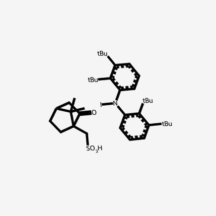 CC(C)(C)c1cccc(N(I)c2cccc(C(C)(C)C)c2C(C)(C)C)c1C(C)(C)C.CC1(C)C2CCC1(CS(=O)(=O)O)C(=O)C2